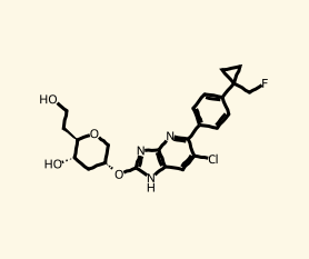 OCC[C@H]1OC[C@H](Oc2nc3nc(-c4ccc(C5(CF)CC5)cc4)c(Cl)cc3[nH]2)C[C@@H]1O